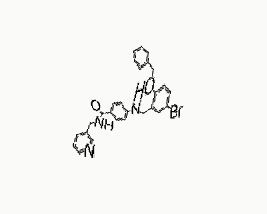 O=C(NCc1cccnc1)c1ccc(NCc2cc(Br)ccc2OCc2ccccc2)cc1